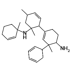 CC1C=CC(C2=CC(C)(C3C=CC=CC3)C(N)CC2)C(C)(NC2(C)C=CCCC2)C1